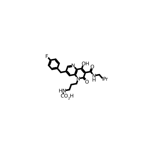 CC(C)CNC(=O)c1c(O)c2ncc(Cc3ccc(F)cc3)cc2n(CCCNC(=O)O)c1=O